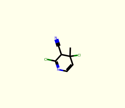 CC1(Cl)C=CN=C(Cl)C1C#N